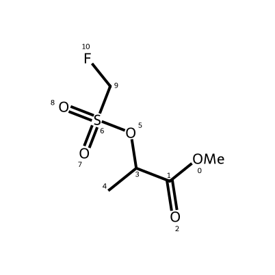 COC(=O)C(C)OS(=O)(=O)CF